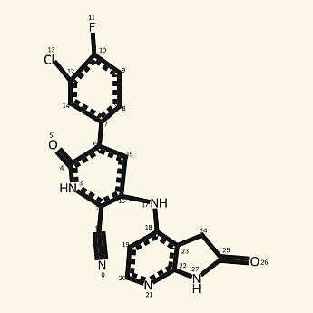 N#Cc1[nH]c(=O)c(-c2ccc(F)c(Cl)c2)cc1Nc1ccnc2c1CC(=O)N2